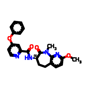 COc1ccc2c(n1)N(C)C(=O)[C@@H](NC(=O)c1cc(Oc3ccccc3)ccn1)CC2